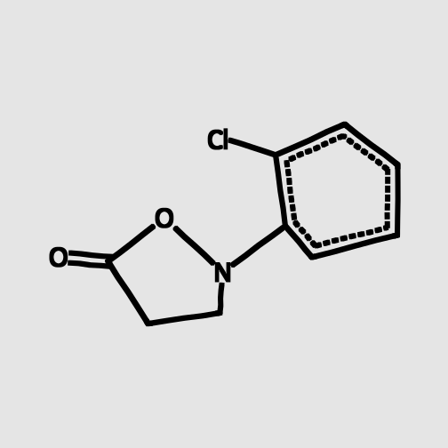 O=C1CCN(c2ccccc2Cl)O1